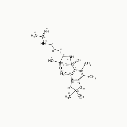 Cc1c(C)c(S(=O)(=O)N[C@@H](CCCNC(=N)N)C(=O)O)c(C)c2c1OC(C)(C)C2